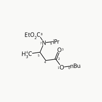 CCCCOC(=O)CC(C)N(C(=O)OCC)C(C)C